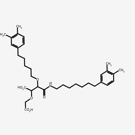 Cc1ccc(CCCCCCCNC(=O)C(OCCCCCc2ccc(C)c(C)c2)C(OCC(=O)O)C(=O)O)cc1C